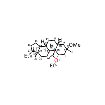 CCOC[C@]12CCC(C)(OC)C[C@H]1CC[C@H]1[C@@H]3CC[C@H](CC)[C@@]3(C)CC[C@@H]12